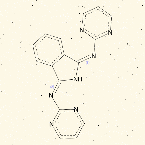 c1cnc(/N=C2\N/C(=N/c3ncccn3)c3ccccc32)nc1